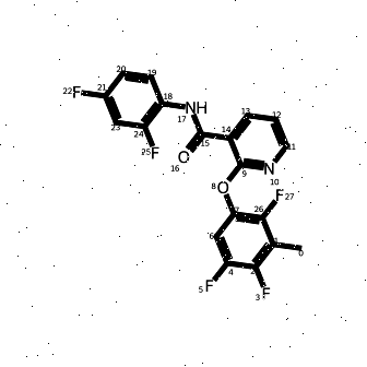 Cc1c(F)c(F)cc(Oc2ncccc2C(=O)Nc2ccc(F)cc2F)c1F